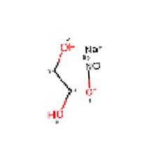 O=N[O-].OCCO.[Na+]